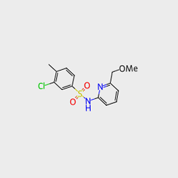 COCc1cccc(NS(=O)(=O)c2ccc(C)c(Cl)c2)n1